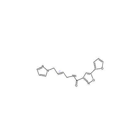 O=C(NC/C=C/Cn1cccn1)c1cc(-c2ccco2)on1